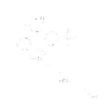 Cc1cnccc1-c1cccc(C(C)N(CCCC(=O)NCCSO)S(=O)(=O)c2cccc(C(F)(F)F)c2)c1